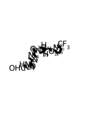 O=CNNC(=O)c1cnc(C(=O)N2C[C@@H]3[C@@H](COc4cccc(C(F)(F)F)n4)[C@@H]3C2)cn1